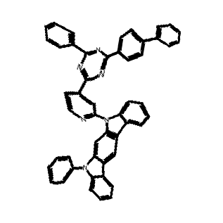 c1ccc(-c2ccc(-c3nc(-c4ccccc4)nc(-c4ccnc(-n5c6ccccc6c6cc7c8ccccc8n(-c8ccccc8)c7cc65)c4)n3)cc2)cc1